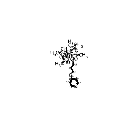 C[Si](C)(C)O[Si](C)(C)O[Si](C)(CCCOc1ccncc1)O[Si](C)(C)O[Si](C)(C)C